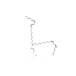 CCCCC/C=C\C/C=C\CCCCCCCCC1(CCCCCCCC/C=C\C/C=C\CCCCC)OCC(CCN(CO)CO)O1